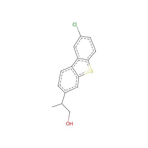 CC(CO)c1ccc2c(c1)sc1ccc(Cl)cc12